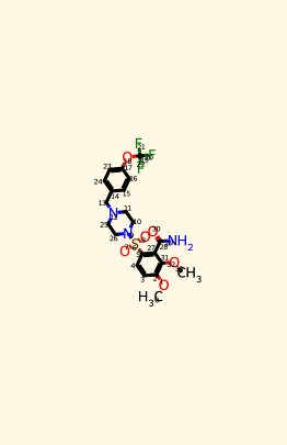 COc1ccc(S(=O)(=O)N2CCN(Cc3ccc(OC(F)(F)F)cc3)CC2)c(C(N)=O)c1OC